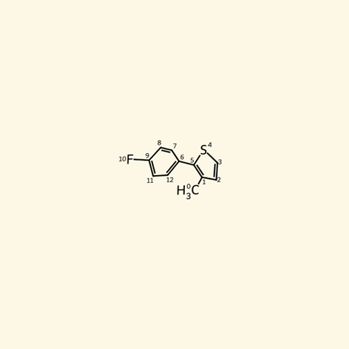 Cc1ccsc1-c1ccc(F)cc1